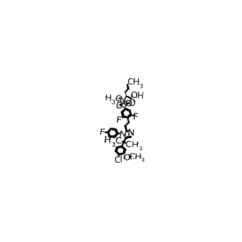 CCCC[C@@H](C(=O)O)N(C)S(=O)(=O)c1cc(F)c(CCc2ncc(C(C)(C)c3ccc(Cl)c(OC)c3)n2-c2ccc(F)cc2)c(F)c1